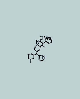 COc1nc2ccc(C(C3=CC=CC(C)C3)c3cccnc3)cc2c(C)c1-c1ccccc1